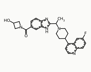 CC(c1nc2ccc(C(=O)N3CC(O)C3)cc2[nH]1)N1CCC(c2ccnc3ccc(F)cc23)CC1